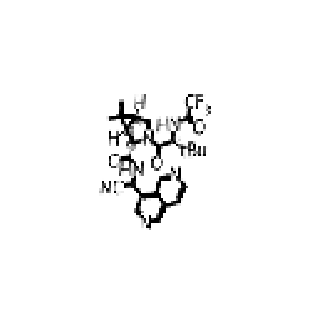 CC(C)(C)[C@H](NC(=O)C(F)(F)F)C(=O)N1C[C@H]2[C@@H]([C@H]1C(=O)NC(C#N)c1cncc3ccncc13)C2(C)C